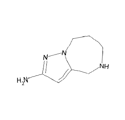 Nc1cc2n(n1)CCCNC2